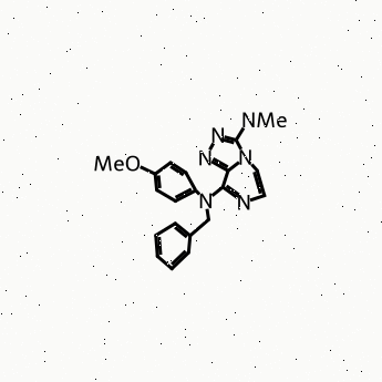 CNc1nnc2c(N(Cc3ccccc3)c3ccc(OC)cc3)nccn12